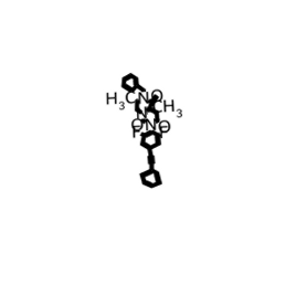 Cc1ccccc1CN1CCN2C(=O)N(c3c(F)cc(C#Cc4ccccc4)cc3F)C(=O)C[C@]2(C)C1=O